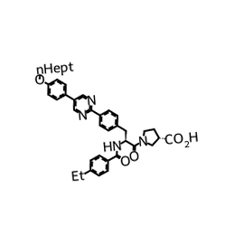 CCCCCCCOc1ccc(-c2cnc(-c3ccc(C[C@H](NC(=O)c4ccc(CC)cc4)C(=O)N4CC[C@H](C(=O)O)C4)cc3)nc2)cc1